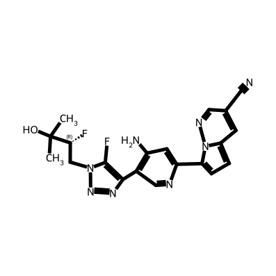 CC(C)(O)[C@H](F)Cn1nnc(-c2cnc(-c3ccc4cc(C#N)cnn34)cc2N)c1F